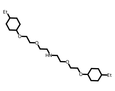 CCC1CCC(OCCOCCNCCOCCOC2CCC(CC)CC2)CC1